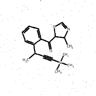 CC(C#C[Si](C)(C)C)c1ccccc1C(=O)C1OC=NC1C